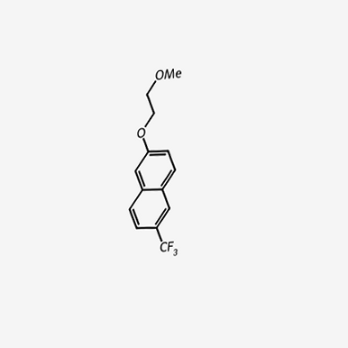 COCCOc1ccc2cc(C(F)(F)F)ccc2c1